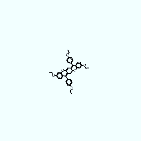 CCOc1ccc(C2=C3CC4Oc5cc(OCC)ccc5C(c5ccc(OCC)cc5)=C4C=C3Oc3cc(OCC)ccc32)cc1